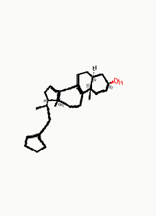 CC(CC1CCCC1)[C@H]1CC=C2C3=C(CC[C@@]21C)[C@@]1(C)CC[C@H](O)C[C@@H]1CC3